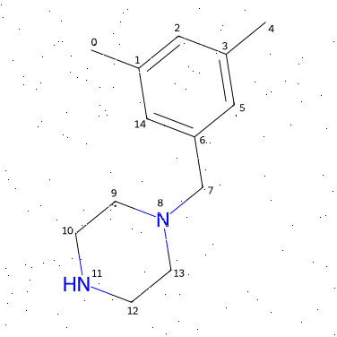 Cc1cc(C)cc(CN2[CH]CNCC2)c1